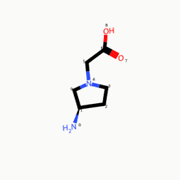 N[C@@H]1CCN(CC(=O)O)C1